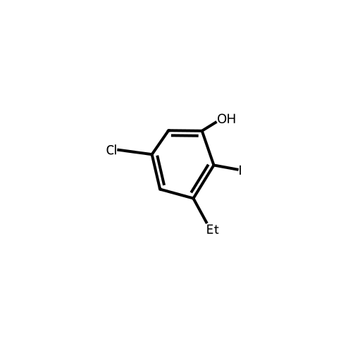 CCc1cc(Cl)cc(O)c1I